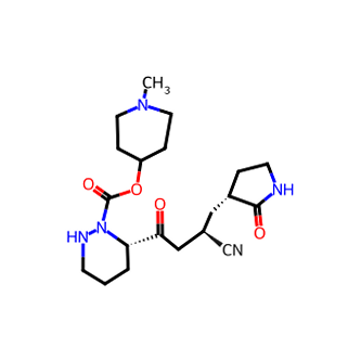 CN1CCC(OC(=O)N2NCCC[C@H]2C(=O)C[C@H](C#N)C[C@@H]2CCNC2=O)CC1